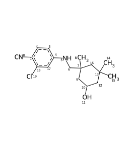 [C-]#[N+]c1ccc(NCC2(C)CC(O)CC(C)(C)C2)cc1Cl